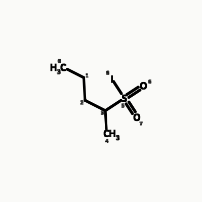 CCCC(C)S(=O)(=O)I